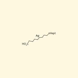 CCCCCCCCCCCCCCCC(=O)O.[Ag]